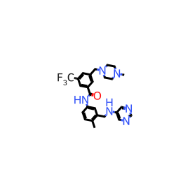 Cc1ccc(NC(=O)c2cc(CN3CCN(C)CC3)cc(C(F)(F)F)c2)cc1CNc1cncnc1